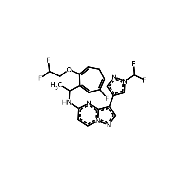 CC(Nc1ccn2ncc(-c3cnn(C(F)F)c3)c2n1)C1=CC(F)=CCC=C1OCC(F)F